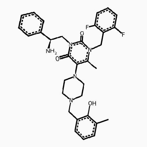 Cc1cccc(CN2CCN(c3c(C)n(Cc4c(F)cccc4F)c(=O)n(C[C@@H](N)c4ccccc4)c3=O)CC2)c1O